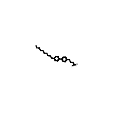 CCCCCCCCCCc1ccc(-c2ccc(CCC=C(F)F)cc2)cc1